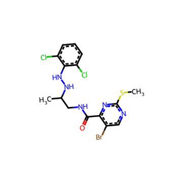 CSc1ncc(Br)c(C(=O)NCC(C)NNc2c(Cl)cccc2Cl)n1